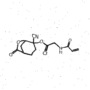 C=CC(=O)NCC(=O)OC1(C#N)CCC2CC1OC2=O